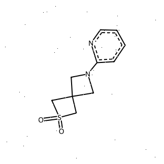 O=S1(=O)CC2(CN(c3cc[c]cn3)C2)C1